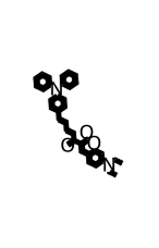 CCN(CC)c1ccc2cc(C(=O)C=C/C=C/c3ccc(N(c4ccccc4)c4ccccc4)cc3)c(=O)oc2c1